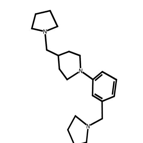 c1cc(CN2CCCC2)cc(N2CCC(CN3CCCC3)CC2)c1